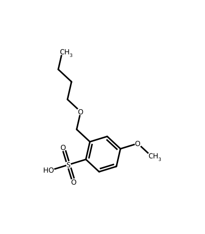 CCCCOCc1cc(OC)ccc1S(=O)(=O)O